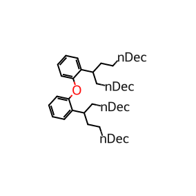 CCCCCCCCCCCCC(CCCCCCCCCCC)c1ccccc1Oc1ccccc1C(CCCCCCCCCCC)CCCCCCCCCCCC